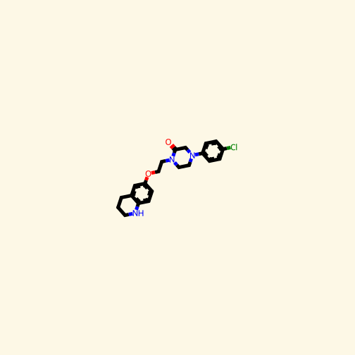 O=C1CN(c2ccc(Cl)cc2)CCN1CCOc1ccc2c(c1)CCCN2